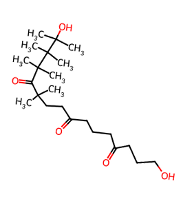 CC(C)(CCC(=O)CCCC(=O)CCCO)C(=O)C(C)(C)C(C)(C)C(C)(C)O